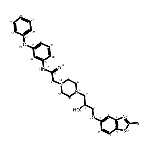 Cc1nc2cc(OC[C@@H](O)CN3CCN(CC(=O)Nc4cccc(Oc5ccccc5)c4)CC3)ccc2s1